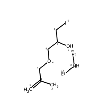 C=C(C)COCC(O)CI.CCNCC